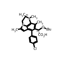 Cc1c([C@H](OC(C)(C)C)C(=O)O)c(-c2ccc(Cl)cc2)c2cc(C)n3c2c1N(C)[C@H](C)C3